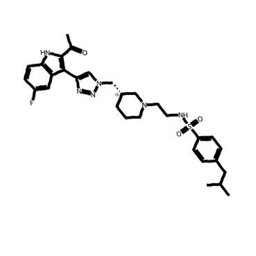 CC(=O)c1[nH]c2ccc(F)cc2c1-c1cn(C[C@H]2CCCN(CCNS(=O)(=O)c3ccc(CC(C)C)cc3)C2)nn1